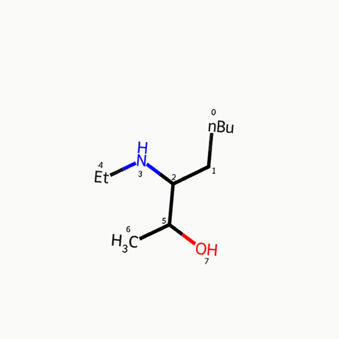 CCCCCC(NCC)C(C)O